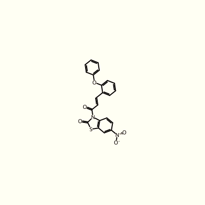 O=C(/C=C/c1ccccc1Oc1ccccc1)n1c(=O)sc2cc([N+](=O)[O-])ccc21